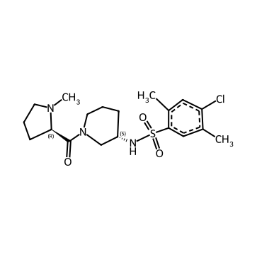 Cc1cc(S(=O)(=O)N[C@H]2CCCN(C(=O)[C@H]3CCCN3C)C2)c(C)cc1Cl